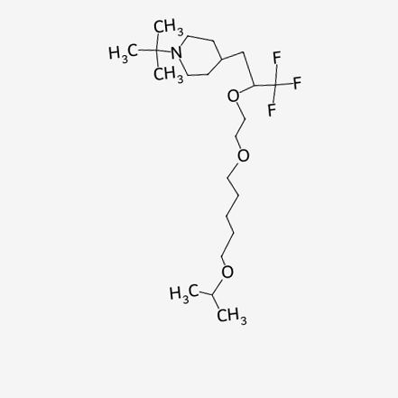 CC(C)OCCCCCOCCOC(CC1CCN(C(C)(C)C)CC1)C(F)(F)F